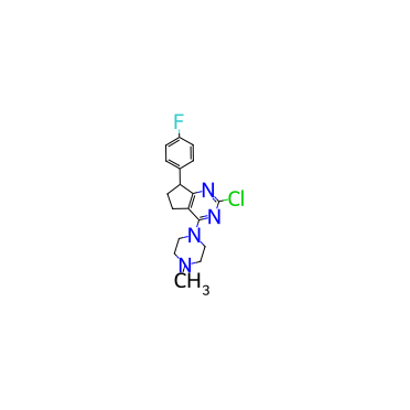 CN1CCN(c2nc(Cl)nc3c2CCC3c2ccc(F)cc2)CC1